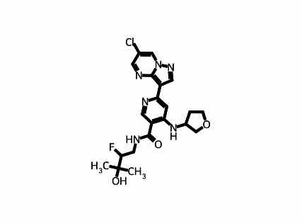 CC(C)(O)C(F)CNC(=O)c1cnc(-c2cnn3cc(Cl)cnc23)cc1NC1CCOC1